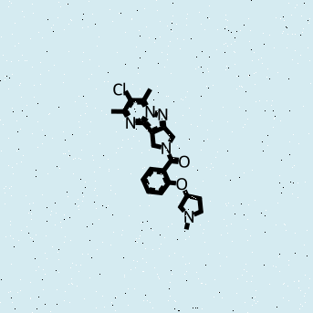 Cc1nc2c3c(nn2c(C)c1Cl)CN(C(=O)c1ccccc1OC1CCN(C)C1)C3